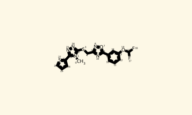 Cn1c(SCc2noc(-c3cccc(OC(F)F)c3)n2)nnc1-c1cccs1